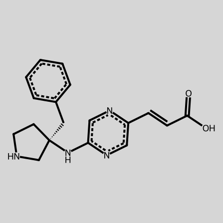 O=C(O)/C=C/c1cnc(N[C@]2(Cc3ccccc3)CCNC2)cn1